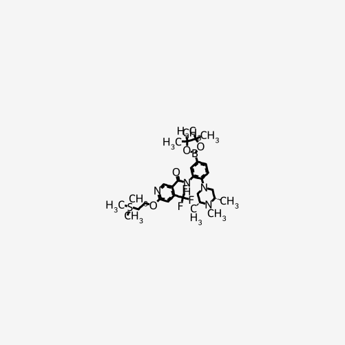 C[C@@H]1CN(c2ccc(B3OC(C)(C)C(C)(C)O3)cc2NC(=O)c2cnc(OCCS(C)(C)C)cc2C(F)(F)F)C[C@H](C)N1C